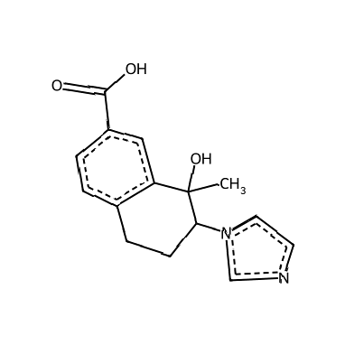 CC1(O)c2cc(C(=O)O)ccc2CCC1n1ccnc1